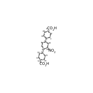 O=C(O)c1ccc(-c2ccc(-c3ccc(C(=O)O)cc3)c([N+](=O)[O-])c2)cc1